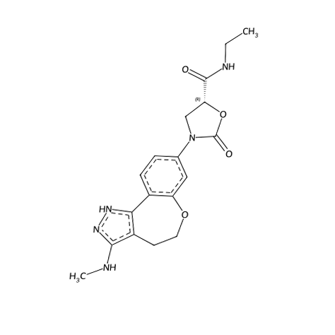 CCNC(=O)[C@H]1CN(c2ccc3c(c2)OCCc2c(NC)n[nH]c2-3)C(=O)O1